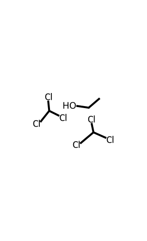 CCO.ClC(Cl)Cl.ClC(Cl)Cl